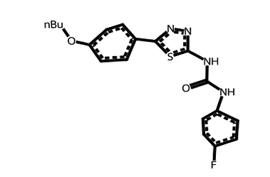 CCCCOc1ccc(-c2nnc(NC(=O)Nc3ccc(F)cc3)s2)cc1